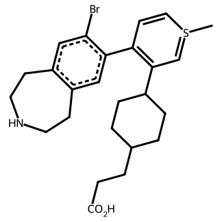 CS1=CC(C2CCC(CCC(=O)O)CC2)=C(c2cc3c(cc2Br)CCNCC3)C=C1